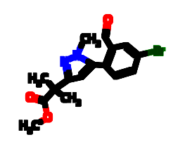 COC(=O)C(C)(C)c1cc(-c2ccc(Br)cc2C=O)n(C)n1